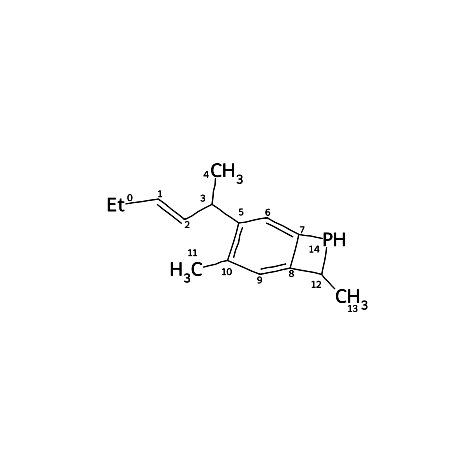 CCC=CC(C)c1cc2c(cc1C)C(C)P2